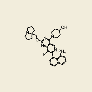 OC1CCN(c2nc(OCC34CCCN3CCC4)nc3c(F)c(-c4cccc5cccc(P)c45)ncc23)CC1